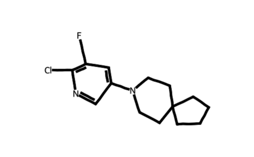 Fc1cc(N2CCC3(CCCC3)CC2)cnc1Cl